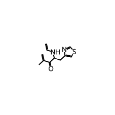 C=CN[C@@H](Cc1cscn1)C(=O)C(=C)C